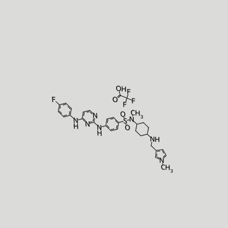 CN(C1CCC(NCc2ccn(C)c2)CC1)S(=O)(=O)c1ccc(Nc2nccc(Nc3ccc(F)cc3)n2)cc1.O=C(O)C(F)(F)F